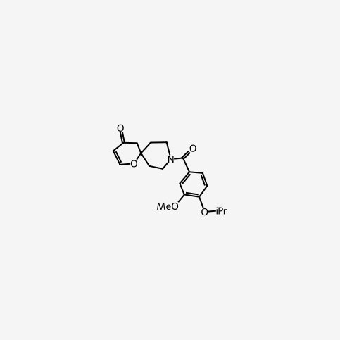 COc1cc(C(=O)N2CCC3(CC2)CC(=O)C=CO3)ccc1OC(C)C